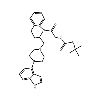 CC(C)(C)OC(=O)NCC(=O)N1c2ccccc2CCC1CN1CCN(c2cccc3[nH]ccc23)CC1